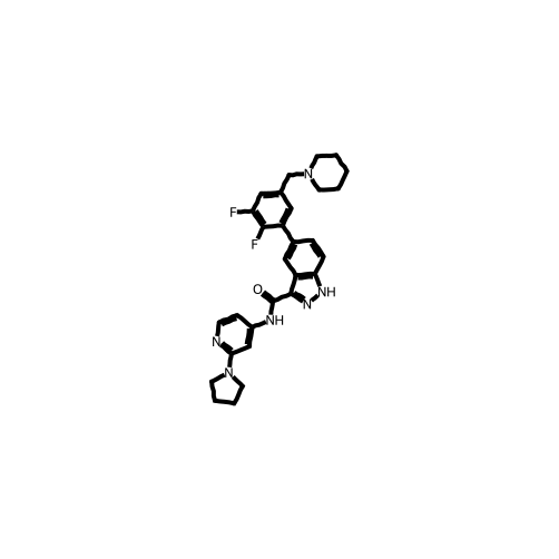 O=C(Nc1ccnc(N2CCCC2)c1)c1n[nH]c2ccc(-c3cc(CN4CCCCC4)cc(F)c3F)cc12